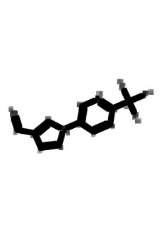 O=Cc1ccn(-c2ccc(C(F)(F)F)nc2)c1